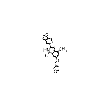 Cc1cc(OC[C@@H]2CCOC2)cc2c(=O)[nH]c(-c3cc4ccsc4cn3)nc12